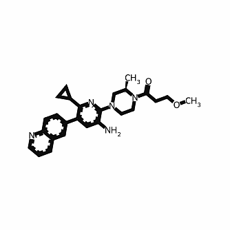 COCCC(=O)N1CCN(c2nc(C3CC3)c(-c3ccc4ncccc4c3)cc2N)C[C@H]1C